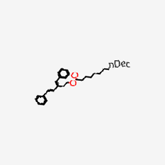 CCCCCCCCCCCCCCCCCC(=O)OCCC(C=Cc1ccccc1)=Cc1ccccc1